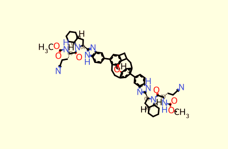 COC(=O)N[C@@H](CCC#N)C(=O)N1[C@H](c2nc3cc(-c4cc5c6cc4CCc4cc(-c7ccc8[nH]c([C@@H]9C[C@@H]%10CCCC[C@@H]%10N9C(=O)[C@H](CCC#N)NC(=O)OC)nc8c7)c(cc4OC)CC6C5)ccc3[nH]2)C[C@@H]2CCCC[C@@H]21